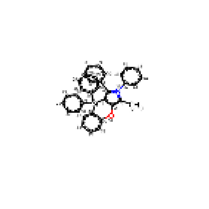 Cc1c2c(c(-c3ccccc3)n1-c1ccccc1)[Si](c1ccccc1)(c1ccccc1)c1ccccc1O2